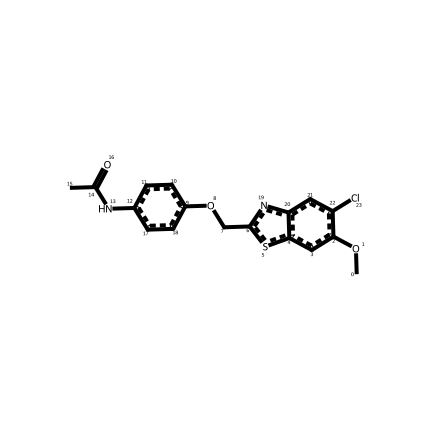 COc1cc2sc(COc3ccc(NC(C)=O)cc3)nc2cc1Cl